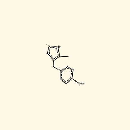 CSc1ccc(Cc2cn[nH]c2C)cc1